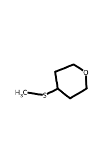 CSC1CCOCC1